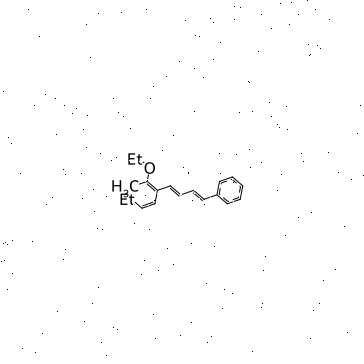 CC\C=C/C(/C=C/C=C/c1ccccc1)=C(\C)OCC